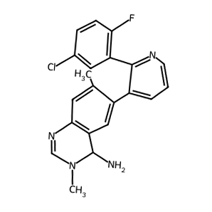 Cc1cc2c(cc1-c1cccnc1-c1cc(Cl)ccc1F)C(N)N(C)C=N2